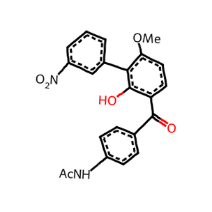 COc1ccc(C(=O)c2ccc(NC(C)=O)cc2)c(O)c1-c1cccc([N+](=O)[O-])c1